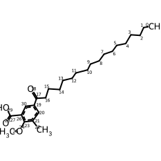 CCCCCCCCCCCCCCCCCC(=O)c1cc(C)c(OC)c(C(=O)O)c1